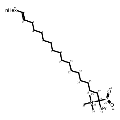 CCCCCCC=CCCCCCCCCCCCCCCCC(CCC)(P(=O)=O)[N+](C)(C)C